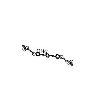 C=CC(=O)OCCCCOc1ccc(C#CC2=CC(C=O)=C(C#Cc3ccc(OCCCCOC(=O)C=C)cc3)CC2)cc1